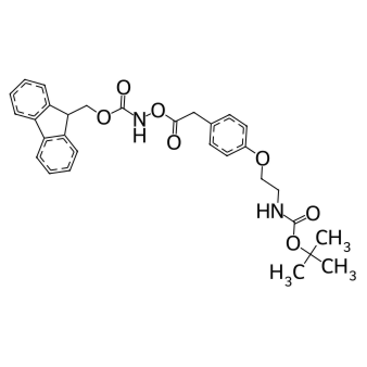 CC(C)(C)OC(=O)NCCOc1ccc(CC(=O)ONC(=O)OCC2c3ccccc3-c3ccccc32)cc1